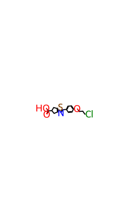 O=C(O)C1Cc2nc(-c3ccc(OCCCCl)cc3)sc2C1